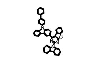 c1ccc(-c2ccc(-n3c4ccccc4c4cc(-c5nc(-n6c7ccccc7c7ccccc76)nc6oc7ccccc7c56)ccc43)cc2)cc1